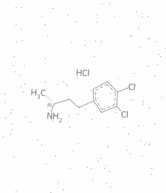 C[C@@H](N)CCc1ccc(Cl)c(Cl)c1.Cl